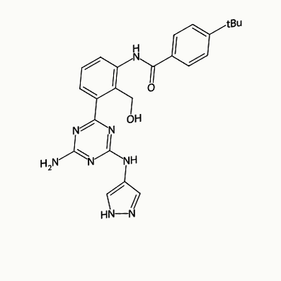 CC(C)(C)c1ccc(C(=O)Nc2cccc(-c3nc(N)nc(Nc4cn[nH]c4)n3)c2CO)cc1